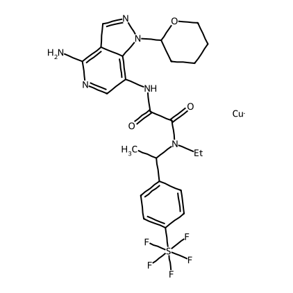 CCN(C(=O)C(=O)Nc1cnc(N)c2cnn(C3CCCCO3)c12)C(C)c1ccc(S(F)(F)(F)(F)F)cc1.[Cu]